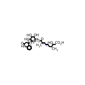 C/C(=C\C=C\CC(C)[C@H](O)CC(=O)O)C(=O)OC[C@H]1O[C@@H](OC2(C(=O)O)CC(=O)Nc3ccccc32)[C@H](O)[C@@H](O)[C@@H]1O